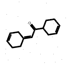 O=C(/C=C1\CC=CCC1)C1CC=CCC1